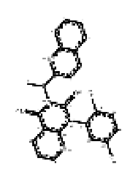 CC(c1ccc2ccccc2n1)n1c(=O)c2cccnc2n(-c2cc(Cl)ccc2F)c1=O